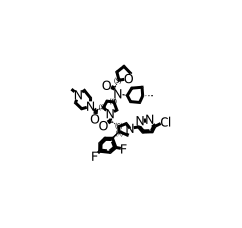 CN1CCN(C(=O)[C@@H]2C[C@H](N(C(=O)[C@@H]3CCCO3)[C@H]3CC[C@@H](C)CC3)CN2C(=O)[C@@H]2CN(c3ccc(Cl)nn3)C[C@H]2c2ccc(F)cc2F)CC1